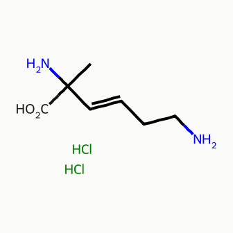 CC(N)(C=CCCN)C(=O)O.Cl.Cl